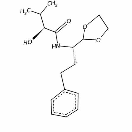 CC(C)[C@H](O)C(=O)N[C@@H](CCc1ccccc1)C1OCCO1